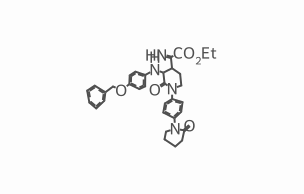 CCOC(=O)C(=N)C1CCN(c2ccc(N3CCCCC3=O)cc2)C(=O)C1Nc1ccc(OCc2ccccc2)cc1